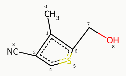 Cc1c(C#N)csc1CO